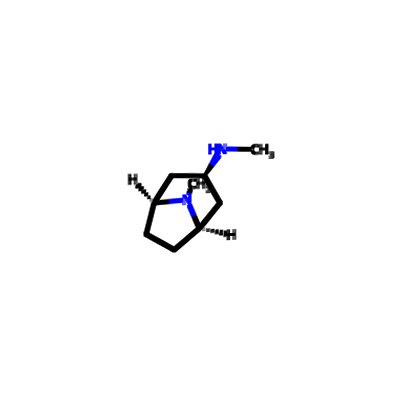 CN[C@H]1C[C@H]2CC[C@@H](C1)N2C